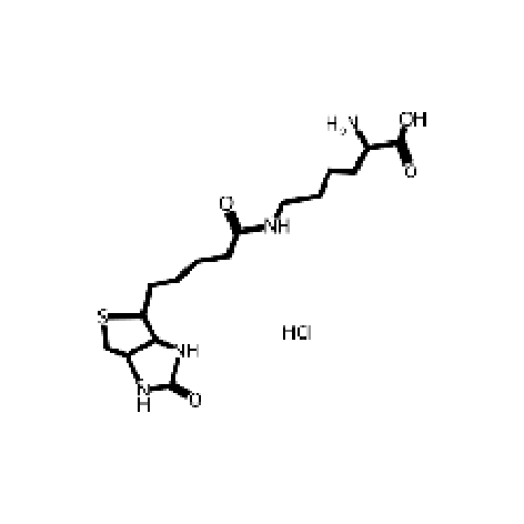 Cl.NC(CCCCNC(=O)CCCCC1SCC2NC(=O)NC21)C(=O)O